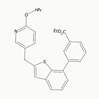 CCCOc1ccc(Cc2cc3cccc(-c4cccc(C(=O)OCC)c4)c3s2)cn1